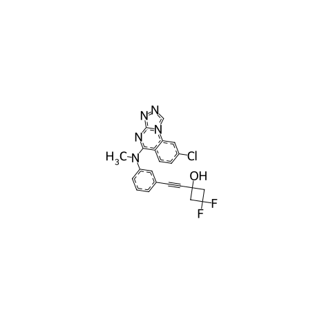 CN(c1cccc(C#CC2(O)CC(F)(F)C2)c1)c1nc2nncn2c2cc(Cl)ccc12